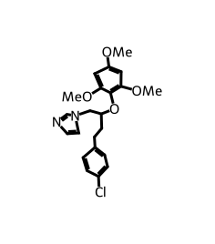 COc1cc(OC)c(OC(CCc2ccc(Cl)cc2)Cn2ccnc2)c(OC)c1